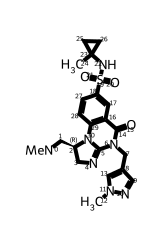 CNC[C@@H]1CN=C2N(Cc3cnn(C)c3)C(=O)c3cc(S(=O)(=O)NC4(C)CC4)ccc3N21